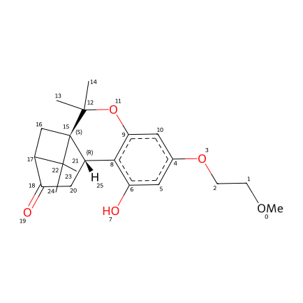 COCCOc1cc(O)c2c(c1)OC(C)(C)[C@@]13CC(C(=O)C[C@@H]21)C3(C)C